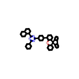 c1ccc(-c2nc(-c3ccc(-c4cccc5c4Oc4ccccc4C54c5ccccc5-c5ccccc54)cc3)nc(-c3cccc4ccccc34)n2)cc1